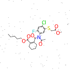 CCCCCOC(=O)C1=C(C(=O)N(C(C)=O)c2cc(SCC(=O)OC)c(Cl)cc2F)CCCC1